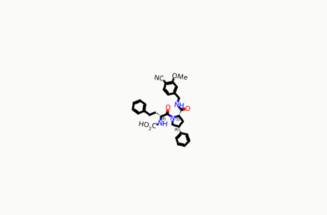 COc1cc(CNC(=O)[C@@H]2C[C@H](c3ccccc3)CN2C(=O)[C@@H](CCc2ccccc2)NC(=O)O)ccc1C#N